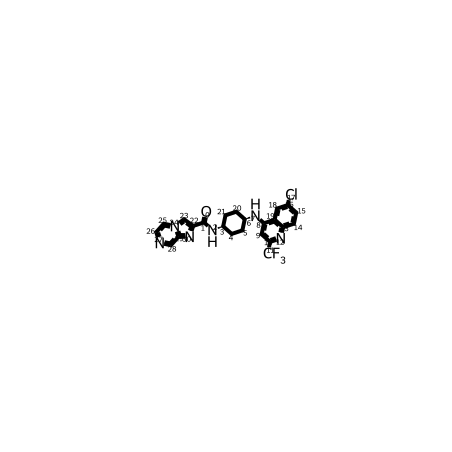 O=C(N[C@H]1CC[C@@H](Nc2cc(C(F)(F)F)nc3ccc(Cl)cc23)CC1)c1cn2ccncc2n1